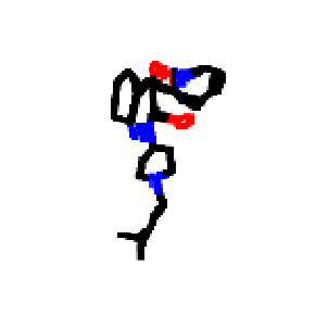 CC(C)=CCCN1CCC(NC(=O)C(O)(c2ccccn2)C2CCCC2)CC1